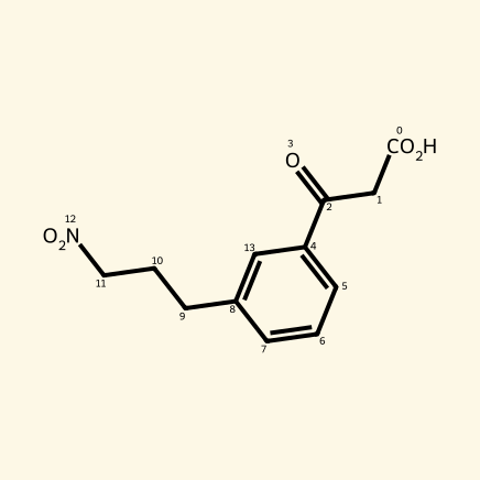 O=C(O)CC(=O)c1cccc(CCC[N+](=O)[O-])c1